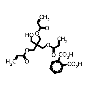 C=CC(=O)OCC(CO)(COC(=O)C=C)COC(=O)C=C.O=C(O)c1ccccc1C(=O)O